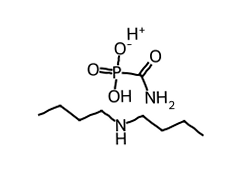 CCCCNCCCC.NC(=O)P(=O)([O-])O.[H+]